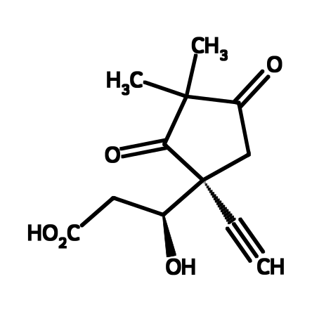 C#C[C@@]1([C@@H](O)CC(=O)O)CC(=O)C(C)(C)C1=O